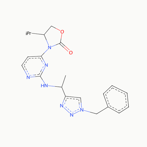 CC(Nc1nccc(N2C(=O)OCC2C(C)C)n1)c1cn(Cc2ccccc2)nn1